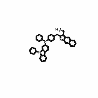 C=Cc1c(Cc2ccc(N(c3ccccc3)c3ccc4c5ccccc5n(-c5ccccc5)c4c3)cc2)sc2cc3ccccc3cc12